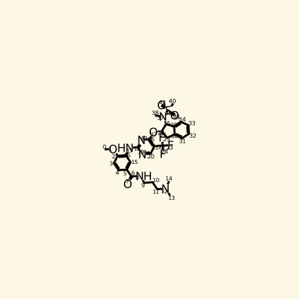 COc1ccc(C(=O)NCCCN(C)C)cc1Nc1ncc(C(F)(F)F)c(O[C@@H]2Cc3ccccc3[C@H]2N(C)S(C)(=O)=O)n1